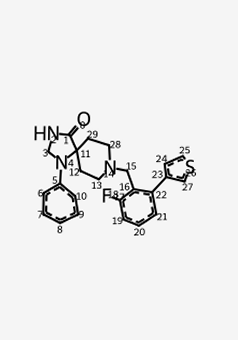 O=C1NCN(c2ccccc2)C12CCN(Cc1c(F)cccc1-c1ccsc1)CC2